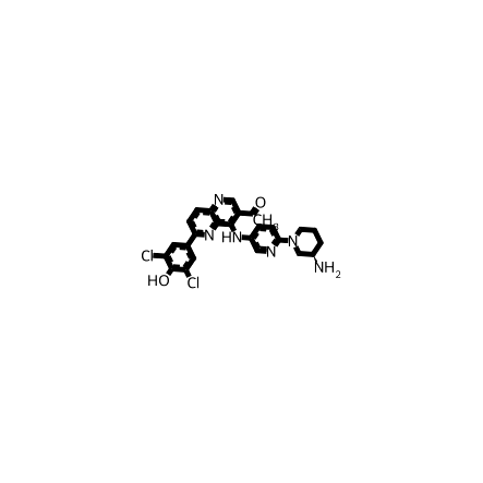 CC(=O)c1cnc2ccc(-c3cc(Cl)c(O)c(Cl)c3)nc2c1Nc1ccc(N2CCC[C@H](N)C2)nc1